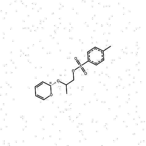 Cc1ccc(S(=O)(=O)OCC(C)O[C@H]2C=CC=CO2)cc1